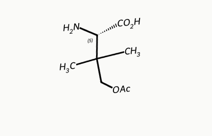 CC(=O)OCC(C)(C)[C@H](N)C(=O)O